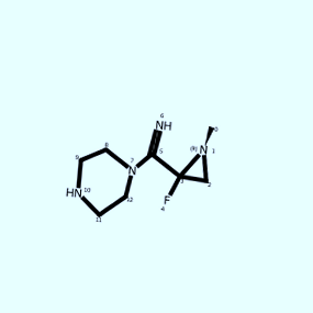 C[N@@]1CC1(F)C(=N)N1CCNCC1